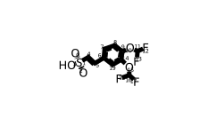 O=S(=O)(O)C=Cc1ccc(OC(F)F)c(OC(F)F)c1